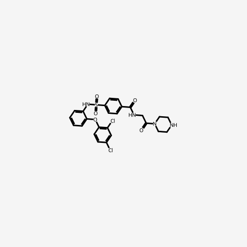 O=C(NCC(=O)N1CCNCC1)c1ccc(S(=O)(=O)Nc2ccccc2Oc2ccc(Cl)cc2Cl)cc1